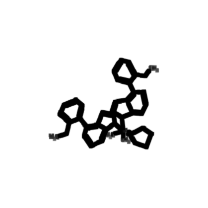 CCc1ccccc1-c1cccc2c1C=C[CH]2[Hf]([CH3])([CH3])(=[C]1CCCC1)[CH]1C=Cc2c(-c3ccccc3CC)cccc21